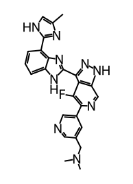 Cc1c[nH]c(-c2cccc3[nH]c(-c4n[nH]c5cnc(-c6cncc(CN(C)C)c6)c(F)c45)nc23)n1